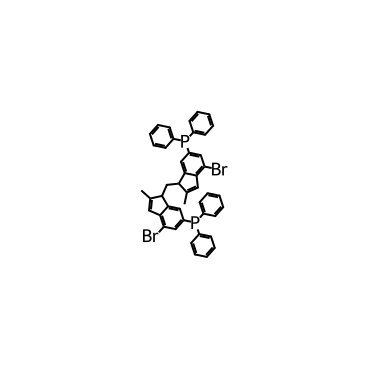 CC1=Cc2c(Br)cc(P(c3ccccc3)c3ccccc3)cc2C1CC1C(C)=Cc2c(Br)cc(P(c3ccccc3)c3ccccc3)cc21